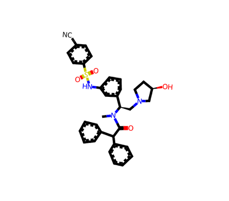 CN(C(=O)C(c1ccccc1)c1ccccc1)[C@H](CN1CC[C@@H](O)C1)c1cccc(NS(=O)(=O)c2ccc(C#N)cc2)c1